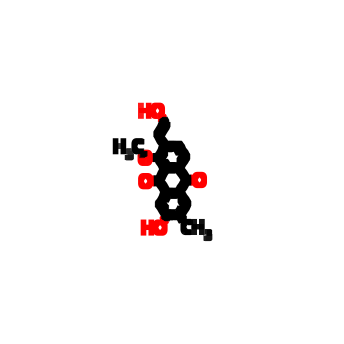 COc1c(C=CO)ccc2c1C(=O)c1cc(O)c(C)cc1C2=O